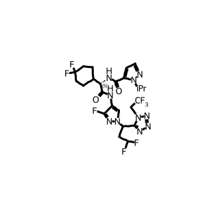 CC(C)n1nccc1C(=O)N[C@H](C(=O)Nc1cn(C(CC(F)F)c2nnnn2CC(F)(F)F)nc1F)C1CCC(F)(F)CC1